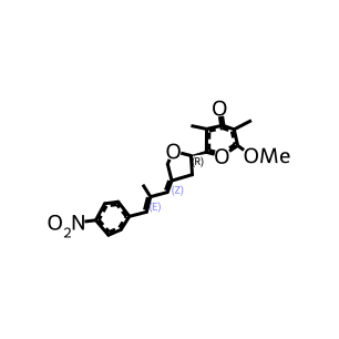 COc1oc([C@H]2C/C(=C/C(C)=C/c3ccc([N+](=O)[O-])cc3)CO2)c(C)c(=O)c1C